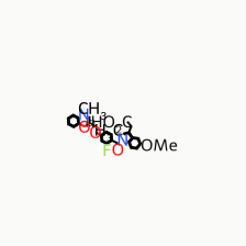 COc1ccc2c(c1)c(CC(=O)O)c(C)n2C(=O)c1ccc(OC[C@@H]2CN(C)c3ccccc3O2)cc1F